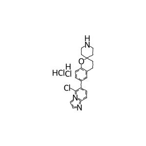 Cl.Cl.Clc1c(-c2ccc3c(c2)CCC2(CCNCC2)O3)ccc2nccn12